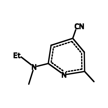 CCN(C)c1cc(C#N)cc(C)n1